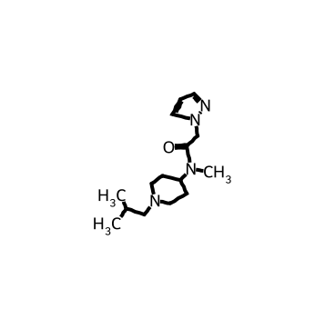 CC(C)CN1CCC(N(C)C(=O)Cn2cccn2)CC1